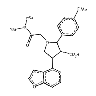 CCCCN(CCCC)C(=O)CN1CC(c2cccc3occc23)C(C(=O)O)C1c1ccc(OC)cc1